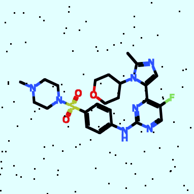 Cc1ncc(-c2nc(Nc3ccc(S(=O)(=O)N4CCN(C)CC4)cc3)ncc2F)n1C1CCOCC1